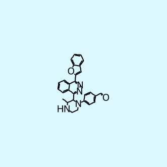 CC1NCCN(c2ccc(C=O)cc2)C1c1nnc(-c2cc3ccccc3o2)c2ccccc12